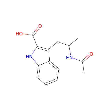 CC(=O)NC(C)Cc1c(C(=O)O)[nH]c2ccccc12